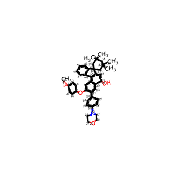 COc1ccc(Oc2cc3c4c(cc(O)c3cc2-c2ccc(N3CCOCC3)cc2)C2(CC(C)(C)CC(C)(C)C2)c2ccccc2-4)cc1